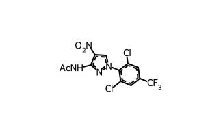 CC(=O)Nc1nn(-c2c(Cl)cc(C(F)(F)F)cc2Cl)cc1[N+](=O)[O-]